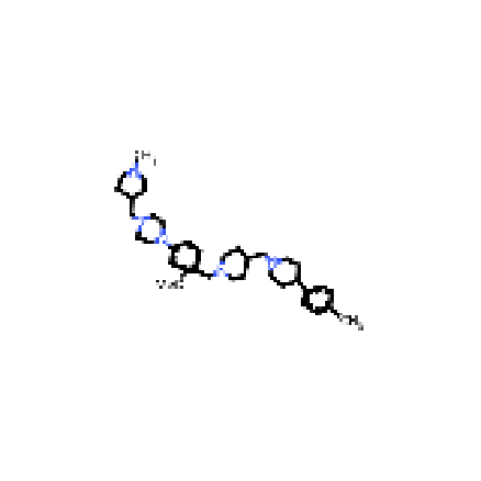 COc1cc(N2CCN(CC3CCN(C)CC3)CC2)ccc1CN1CCC(CN2CCC(c3ccc(C)cc3)CC2)CC1